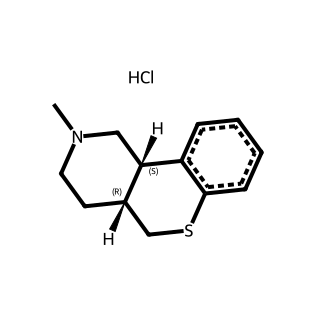 CN1CC[C@H]2CSc3ccccc3[C@H]2C1.Cl